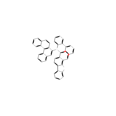 c1ccc(-c2ccccc2N(c2cccc3c2ccc2c4ccccc4sc32)c2cc3ccccc3c3c2ccc2ccccc23)cc1